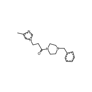 Cc1cn(CCC(=O)N2CCN(Cc3ccccc3)CC2)cn1